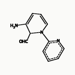 NC1=CC=CN(c2ccccn2)C1C=O